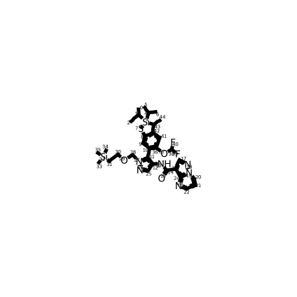 CC(C)[Si]1(C(C)C)Sc2cc(-c3c(NC(=O)c4cnn5cccnc45)cnn3COCC[Si](C)(C)C)c(OC(F)F)cc2C1C